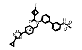 CS(=O)(=O)Nc1cccc(-c2cccc(N(CC34CCC(c5nc(C6CC6)no5)(CC3)CC4)C(=O)C34CC(F)(C3)C4)c2)c1